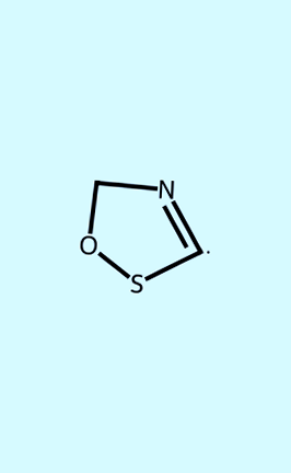 [C]1=NCOS1